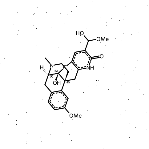 COc1ccc2c(c1)[C@]13CCN(C)[C@H](C2)[C@]1(O)Cc1cc(C(O)OC)c(=O)[nH]c1C3